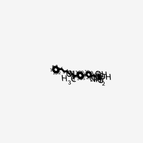 C/C(=N\OCCCc1ccccc1)c1ccc([C@H]2CC[C@](N)(COP(=O)(O)O)C2)cc1